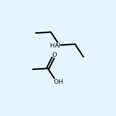 CC(=O)O.C[CH2][AlH][CH2]C